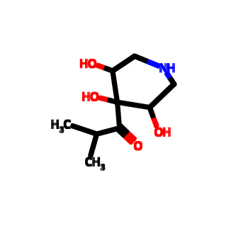 CC(C)C(=O)C1(O)C(O)CNCC1O